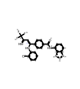 N=C(/C=C(\Nc1ccccc1Cl)c1ccc(C(=O)Nc2cccc3nsnc23)cc1)C(F)(F)F